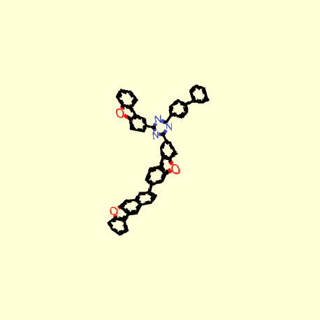 c1ccc(-c2ccc(-c3nc(-c4ccc5oc6ccccc6c5c4)nc(-c4ccc5oc6cc(-c7ccc8cc9c(cc8c7)oc7ccccc79)ccc6c5c4)n3)cc2)cc1